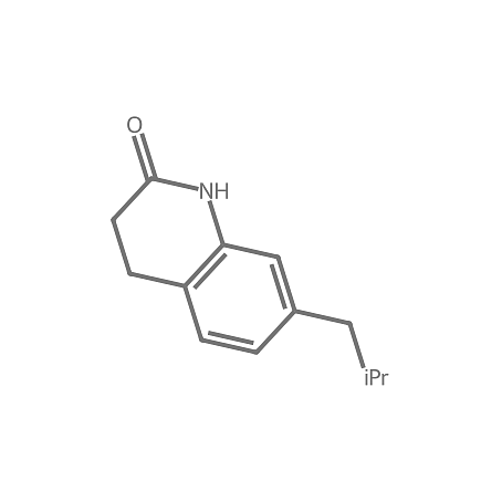 CC(C)Cc1ccc2c(c1)NC(=O)CC2